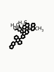 CCCCCCC1(CCCCCC)c2cc(-c3c4ccccc4c(-c4ccc5ccccc5c4)c4ccccc34)ccc2-c2ccc(N(c3ccc(C)c4ccccc34)c3ccc(C)c4ccccc34)cc21